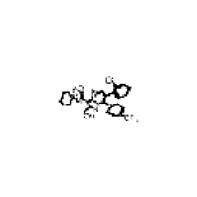 N#CC1(NC(=O)c2c(CO)nn3c(-c4ccc(C(F)(F)F)cc4)c(-c4ccccc4Cl)cnc23)CCCCC1